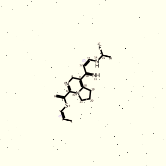 C=C(S/C=C\C)C1=NCC(C(=N)/C=C\NC(C)F)=C2CCCN12